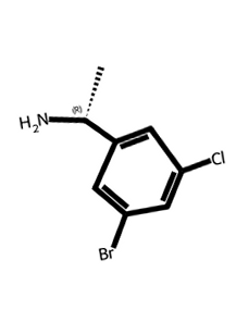 C[C@@H](N)c1cc(Cl)cc(Br)c1